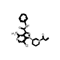 C=CC(=O)N1CCC[C@@H](n2nc(C(=O)Nc3ccccc3)c3c(N)ncc(Cl)c32)C1